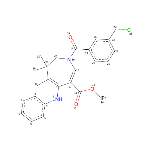 CC1=C(Nc2ccccc2)C(C(=O)OC(C)C)=CN(C(=O)c2cccc(CCl)c2)CC1(C)C